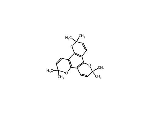 CC1(C)C=Cc2c(c3c(c4c2OC(C)(C)C=C4)OC(C)(C)C=C3)O1